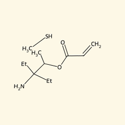 C=CC(=O)OC(C)C(N)(CC)CC.CS